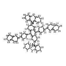 c1ccc2c(c1)Cc1ccccc1N2c1ccc2c(-c3ccc(-c4ccc5ccccc5c4)cc3)c3cc(N4c5ccccc5Cc5ccccc54)ccc3c(-c3ccc(-c4ccc5ccccc5c4)cc3)c2c1